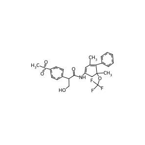 CC1=C(c2ccccc2)C(C)(OC(F)(F)F)CC(NC(=O)C(CO)c2ccc(S(C)(=O)=O)cc2)=C1